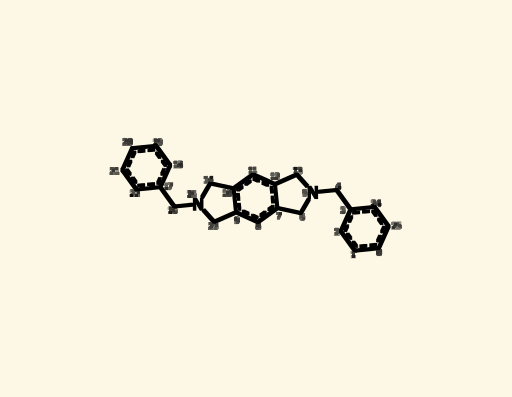 c1ccc(CN2Cc3cc4c(cc3C2)CN(Cc2ccccc2)C4)cc1